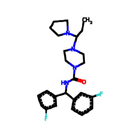 CCC(N1CCCC1)N1CCN(C(=O)NC(c2cccc(F)c2)c2cccc(F)c2)CC1